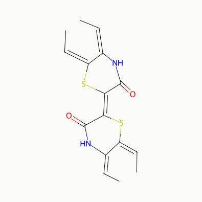 C/C=C1/NC(=O)/C(=C2\SC(=C/C)/C(=C\C)NC2=O)S/C1=C/C